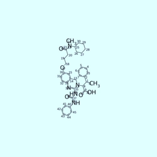 CC(c1ccccc1)C(C(=O)O)N1Cc2cc(OCCCC(=O)N(C)C3CCCCC3)ccc2N=C1NC(=O)Nc1ccccc1